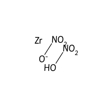 O=[N+]([O-])O.O=[N+]([O-])[O-].[Zr]